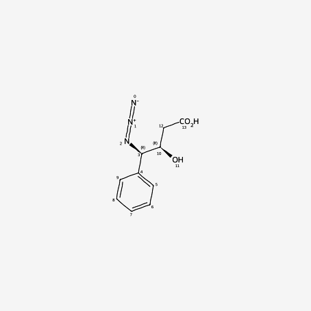 [N-]=[N+]=N[C@H](c1ccccc1)[C@H](O)CC(=O)O